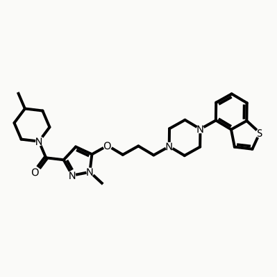 CC1CCN(C(=O)c2cc(OCCCN3CCN(c4cccc5sccc45)CC3)n(C)n2)CC1